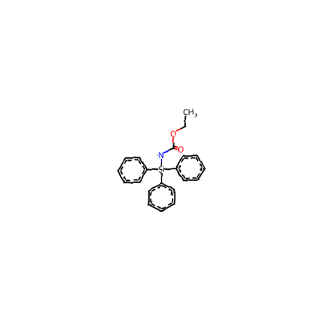 CCOC(=O)[N][Si](c1ccccc1)(c1ccccc1)c1ccccc1